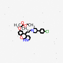 CCOC(=O)C(C)(C)Oc1ccc2c(c1)C(=CCCN1CCC(c3ccc(Cl)cc3)CC1)C1=C(CO2)NCC=C1